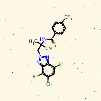 CC(C#N)(Cn1nc2c(Br)cc(Cl)c(Br)c2n1)NC(=S)c1ccc(C(F)(F)F)cc1